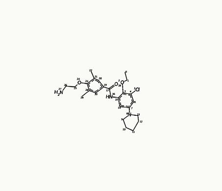 CCOc1c(Cl)cc(N2CCCCC2)cc1NC(=O)c1cc(C)c(OCCN)c(C)c1